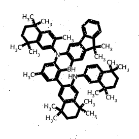 Cc1cc(-c2cc3c(cc2Nc2ccc4c(c2)C(C)(C)CCC4(C)C)C(C)(C)CCC3(C)C)c2c(c1)N(c1cc3c(cc1C)C(C)(C)CCC3(C)C)c1cc3c(cc1B2)C(C)(C)c1ccccc1-3